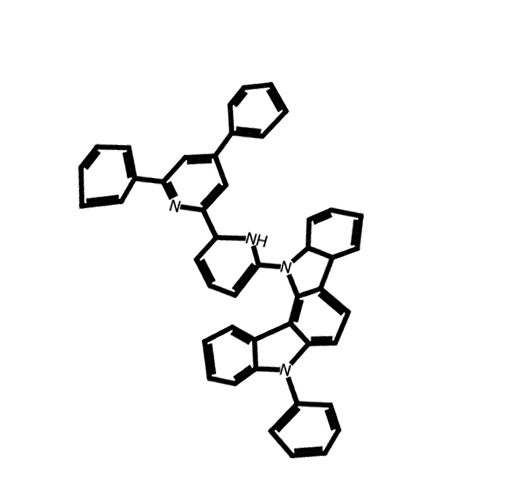 C1=CC(c2cc(-c3ccccc3)cc(-c3ccccc3)n2)NC(N2c3c(ccc4c3c3ccccc3n4-c3ccccc3)C3C=CC=CC32)=C1